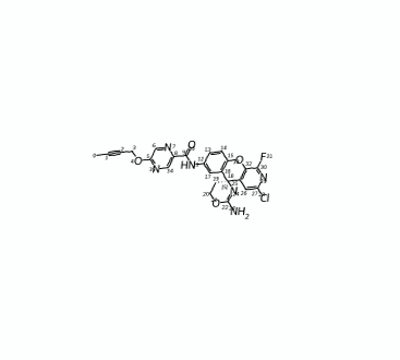 CC#CCOc1cnc(C(=O)Nc2ccc3c(c2)[C@@]2(CCOC(N)=N2)c2cc(Cl)nc(F)c2O3)cn1